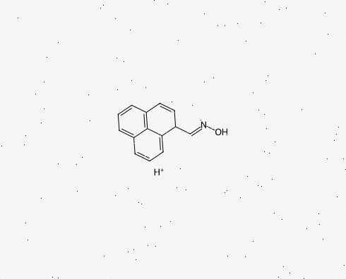 ON=CC1C=Cc2cccc3cccc1c23.[H+]